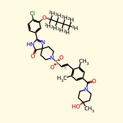 [2H]C([2H])([2H])C([2H])([2H])C([2H])([2H])C([2H])([2H])Oc1cc(C2=NC3(CCN(S(=O)(=O)/C=C/c4c(C)cc(C(=O)N5CCC(C)(O)CC5)cc4C)CC3)C(=O)N2)ccc1Cl